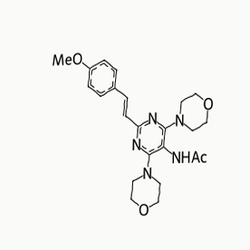 COc1ccc(C=Cc2nc(N3CCOCC3)c(NC(C)=O)c(N3CCOCC3)n2)cc1